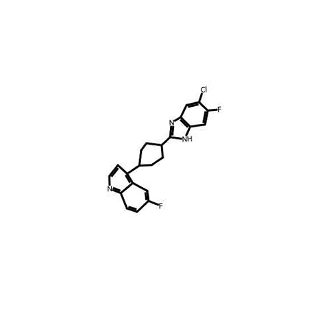 Fc1ccc2nccc(C3CCC(c4nc5cc(Cl)c(F)cc5[nH]4)CC3)c2c1